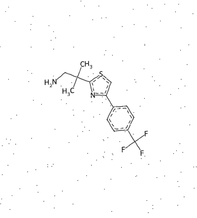 CC(C)(CN)c1nc(-c2ccc(C(F)(F)F)cc2)cs1